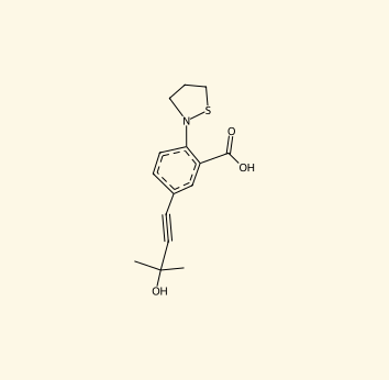 CC(C)(O)C#Cc1ccc(N2CCCS2)c(C(=O)O)c1